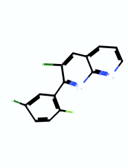 Fc1ccc(Cl)cc1-c1nc2ncccc2cc1Cl